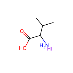 CC(C)C(N)C(=O)O.I